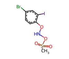 CS(=O)(=O)ONOc1ccc(Br)cc1I